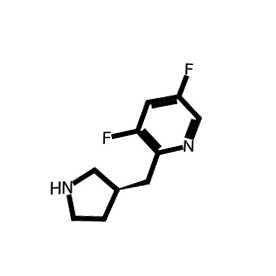 Fc1cnc(C[C@H]2CCNC2)c(F)c1